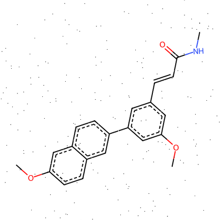 CNC(=O)C=Cc1cc(OC)cc(-c2ccc3cc(OC)ccc3c2)c1